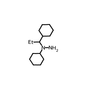 CCC(C1CCCCC1)N(N)C1CCCCC1